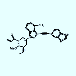 C=CC(=O)NC[C@H](C/C(=C/C)COC)n1nc(C#Cc2ccc3[nH]cnc3c2)c2c(N)ncnc21